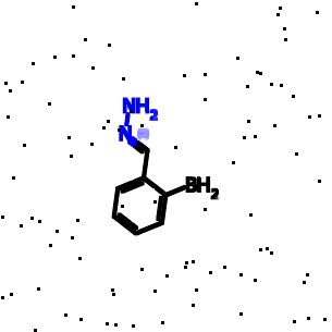 Bc1ccccc1/C=N/N